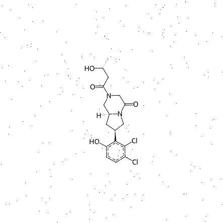 C[C@@H](O)CC(=O)N1CC(=O)N2C[C@@H](c3c(O)ccc(Cl)c3Cl)C[C@H]2C1